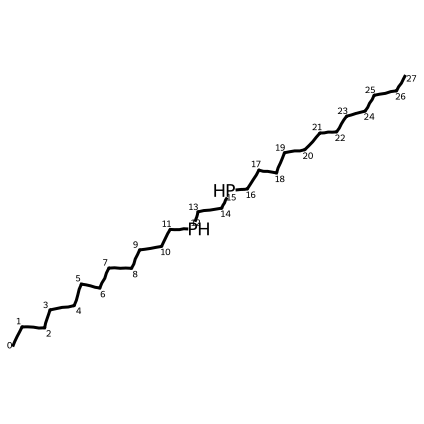 CCCCCCCCCCCCPCCPCCCCCCCCCCCC